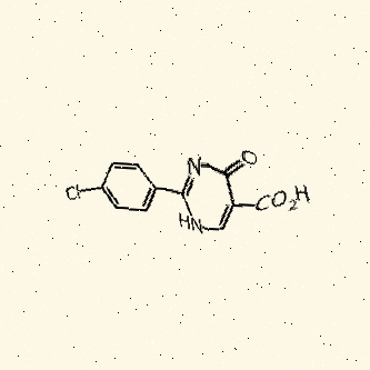 O=C(O)c1c[nH]c(-c2ccc(Cl)cc2)nc1=O